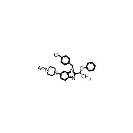 CC(=O)N1CCN(c2ccc3nc(C(C)Oc4ccccc4)n(Cc4ccc(Cl)cc4)c3c2)CC1